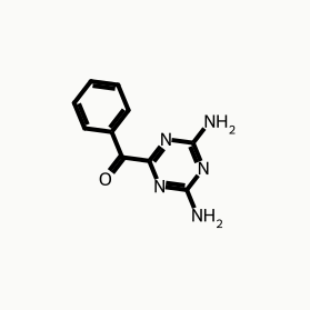 Nc1nc(N)nc(C(=O)c2ccccc2)n1